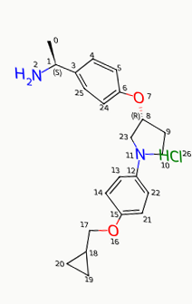 C[C@H](N)c1ccc(O[C@@H]2CCN(c3ccc(OCC4CC4)cc3)C2)cc1.Cl